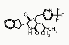 CC(C)C[C@@H]1C(=O)N[C@H](C2Cc3ccccc3C2)C(=O)N1Cc1ccc(C(F)(F)F)nc1